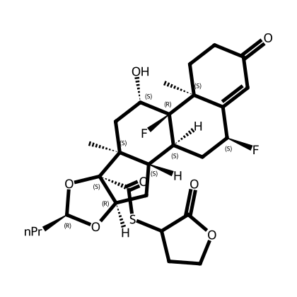 CCC[C@@H]1O[C@@H]2C[C@H]3[C@@H]4C[C@H](F)C5=CC(=O)CC[C@]5(C)[C@@]4(F)[C@@H](O)C[C@]3(C)[C@]2(C(=O)SC2CCOC2=O)O1